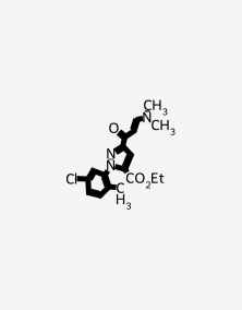 CCOC(=O)c1cc(C(=O)/C=C/N(C)C)nn1-c1cc(Cl)ccc1C